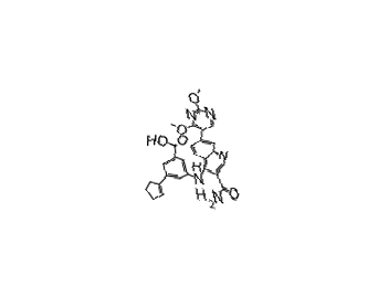 COc1ncc(-c2ccc3c(Nc4cc(C(=O)O)cc(C5=CCCC5)c4)c(C(N)=O)cnc3c2)c(OC)n1